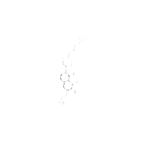 CCCCCC1CCC(c2ccc3cc(CCC)c(F)c(F)c3c2F)=CO1